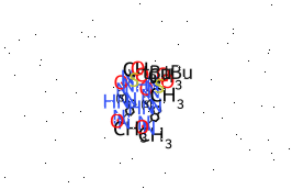 Cc1nc(-c2ccc3ccnc(N[C@H]4CCN(C(=O)N(C)c5nc(C)c(C(=O)OC(C)(C)C)s5)C4)c3c2)no1.Cc1nc(-c2ccc3ccnc(N[C@H]4CCN(C(=O)Nc5nc(C)c(C(=O)OC(C)(C)C)s5)C4)c3c2)no1